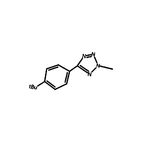 Cn1nnc(-c2ccc(C(C)(C)C)cc2)n1